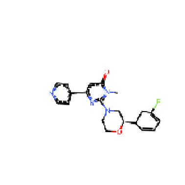 Cn1c(N2CCO[C@H](C3C=CC=C(F)C3)C2)nc(-c2ccncc2)cc1=O